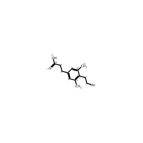 CC(=O)CCc1c(C)cc(CCC(O)=S)cc1C